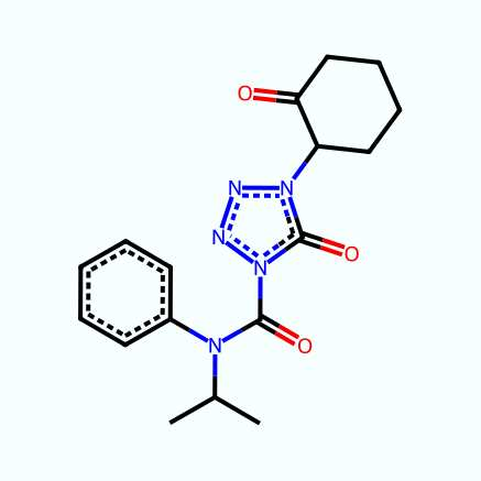 CC(C)N(C(=O)n1nnn(C2CCCCC2=O)c1=O)c1ccccc1